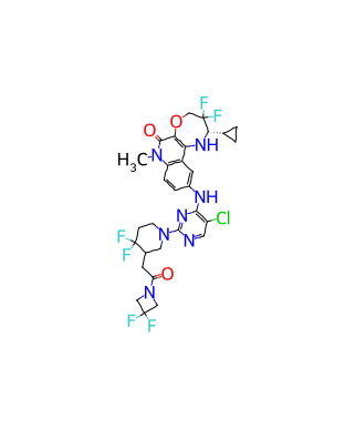 Cn1c(=O)c2c(c3cc(Nc4nc(N5CCC(F)(F)C(CC(=O)N6CC(F)(F)C6)C5)ncc4Cl)ccc31)N[C@@H](C1CC1)C(F)(F)CO2